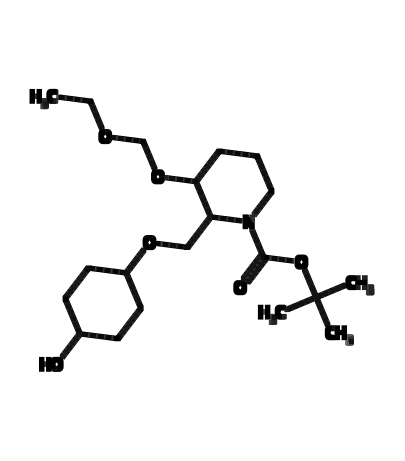 CCOCOC1CCCN(C(=O)OC(C)(C)C)C1COC1CCC(O)CC1